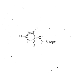 CCCCCCCCOc1c(I)cc(I)cc1I